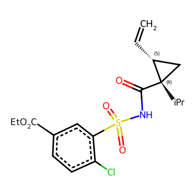 C=C[C@@H]1C[C@@]1(C(=O)NS(=O)(=O)c1cc(C(=O)OCC)ccc1Cl)C(C)C